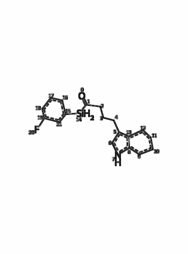 O=C(CCCc1c[nH]c2ccccc12)[SiH2]c1cccc(F)c1